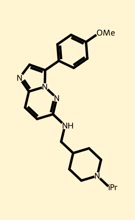 COc1ccc(-c2cnc3ccc(NCC4CCN(C(C)C)CC4)nn23)cc1